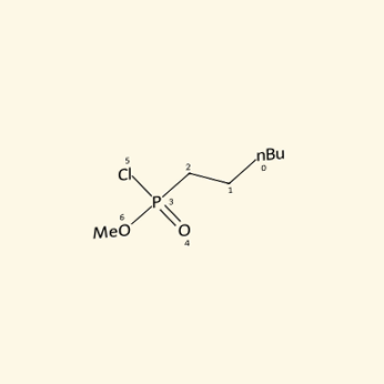 CCCCCCP(=O)(Cl)OC